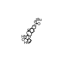 CC(C)(C)OC(=O)N1Cc2ccc(CN3C(=C=S)NC(=O)c4[nH]ccc43)cc2C1